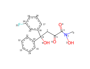 CN(O)C(=O)C(=O)CC(O)(c1ccccc1)c1cccc(F)c1